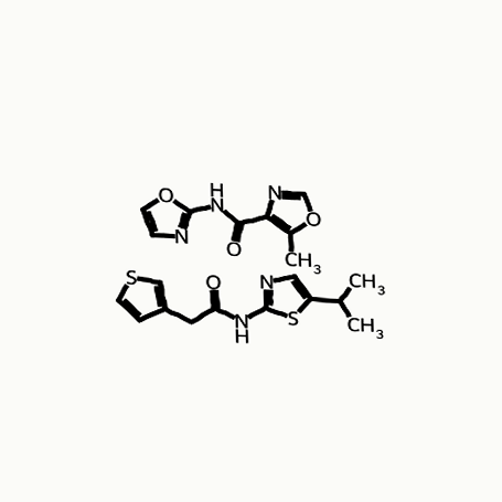 CC(C)c1cnc(NC(=O)Cc2ccsc2)s1.Cc1ocnc1C(=O)Nc1ncco1